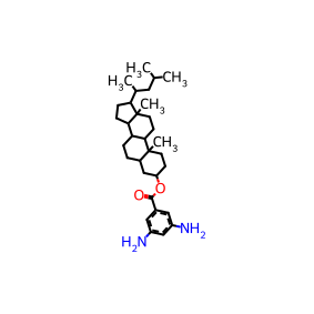 CC(C)CC(C)C1CCC2C3CCC4CC(OC(=O)c5cc(N)cc(N)c5)CCC4(C)C3CCC12C